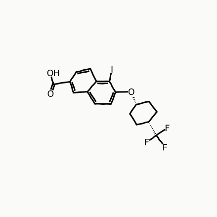 O=C(O)c1ccc2c(I)c(O[C@H]3CC[C@@H](C(F)(F)F)CC3)ccc2c1